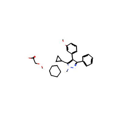 COc1cccc(-c2c(-c3ccccc3)nn(C[C@H]3CC[C@@H](COCC(=O)O)CC3)c2C2CC2)c1